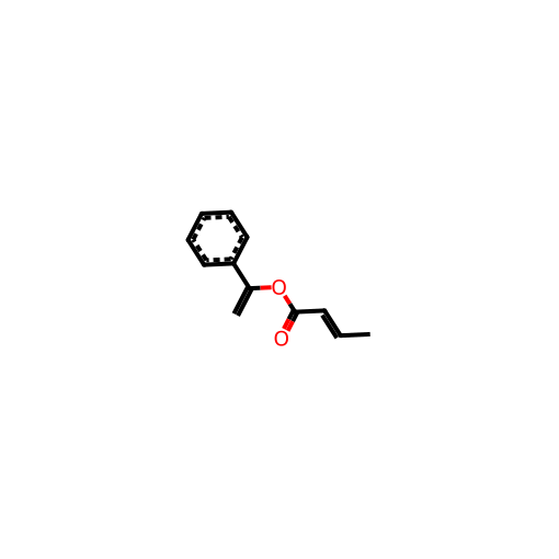 C=C(OC(=O)C=CC)c1ccccc1